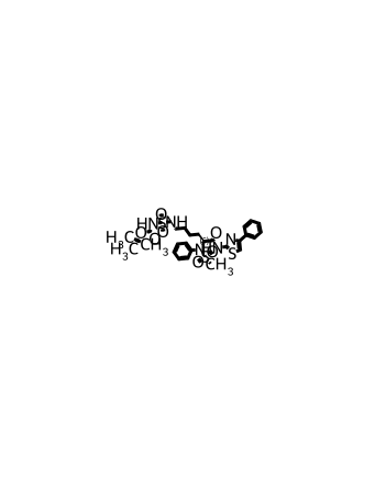 CC(C)(C)OC(=O)NS(=O)(=O)NCCCC[C@@H](C(=O)Nc1nc(-c2ccccc2)cs1)N(c1ccccc1)S(C)(=O)=O